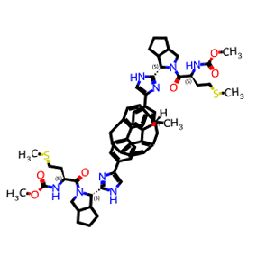 COC(=O)N[C@@H](CCSC)C(=O)N1CC2CCCC2[C@H]1c1nc(-c2ccc(-c3cc4ccc3CCc3ccc(c(-c5ccc(-c6c[nH]c([C@@H]7C8CCCC8CN7C(=O)[C@H](CCSC)NC(=O)OC)n6)cc5)c3)C[C@H]4C)cc2)c[nH]1